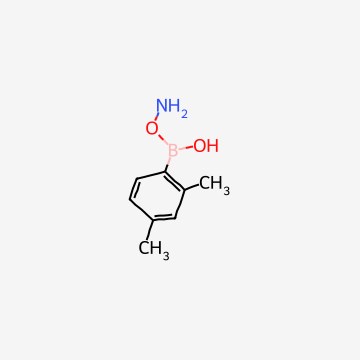 Cc1ccc(B(O)ON)c(C)c1